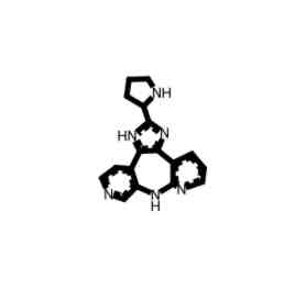 c1cnc2c(c1)-c1nc(C3CCCN3)[nH]c1-c1ccncc1N2